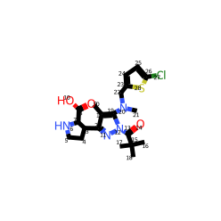 Cc1c(C2CCNC2C(=O)O)nn(C(=O)C(C)(C)C)c1N(C)Cc1ccc(Cl)s1